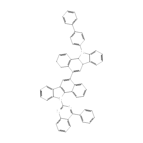 C1=CC2=C(CC1)C(c1cc3c4ccccc4n(-c4nc(-c5ccccc5)c5ccccc5n4)c3c3ccccc13)=CC1c3ccccc3N(c3ccc(-c4ccccc4)cc3)C21